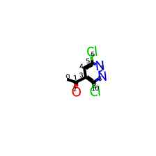 CC(=O)c1cc(Cl)nnc1Cl